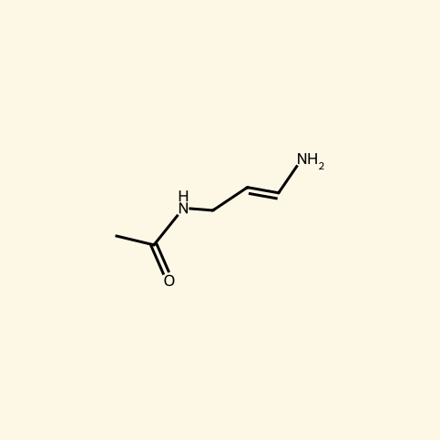 CC(=O)NC/C=C/N